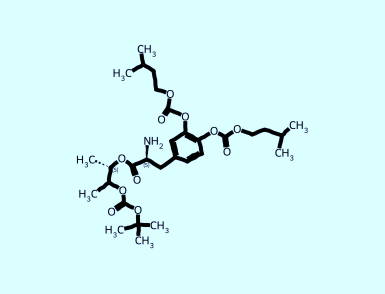 CC(C)CCOC(=O)Oc1ccc(C[C@H](N)C(=O)O[C@@H](C)C(C)OC(=O)OC(C)(C)C)cc1OC(=O)OCCC(C)C